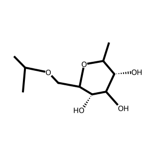 CC(C)OCC1OC(C)[C@H](O)C(O)[C@@H]1O